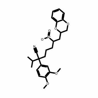 COc1ccc(C(C#N)(CCCC(CC2COc3ccccc3O2)[N+](=O)[O-])C(C)C)cc1OC